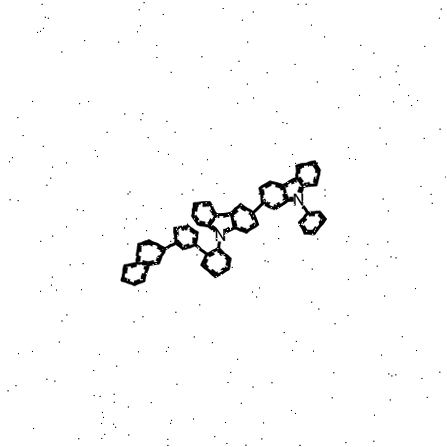 c1ccc(-n2c3ccccc3c3ccc(-c4ccc5c(c4)c4ccccc4n5-c4ccccc4-c4cccc(-c5ccc6ccccc6c5)c4)cc32)cc1